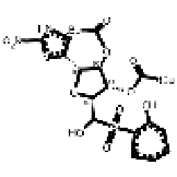 Cc1ccccc1S(=O)(=O)C(O)[C@H]1O[C@H](c2c[nH]c([N+](=O)[O-])n2)[C@@H](OC(=O)C(C)(C)C)[C@@H]1OC(=O)C(C)(C)C